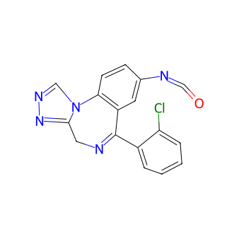 O=C=Nc1ccc2c(c1)C(c1ccccc1Cl)=NCc1nncn1-2